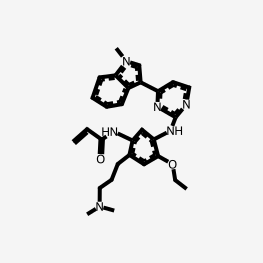 C=CC(=O)Nc1cc(Nc2nccc(-c3cn(C)c4ccccc34)n2)c(OCC)cc1CCCN(C)C